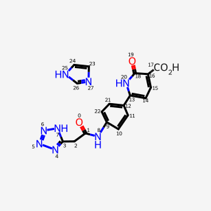 O=C(Cc1nnn[nH]1)Nc1ccc(-c2ccc(C(=O)O)c(=O)[nH]2)cc1.c1c[nH]cn1